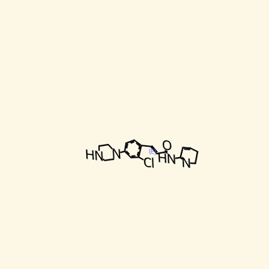 O=C(/C=C/c1ccc(N2CCNCC2)cc1Cl)NC1=NCCC=C1